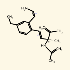 C=C(C)N[C@@](C)(/C=C/c1ccc(CC)cc1/C=C\N)C(=C)C